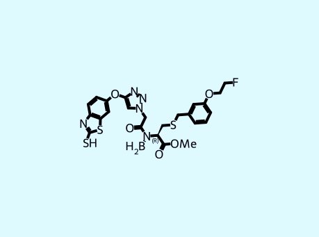 BN(C(=O)Cn1cc(Oc2ccc3nc(S)sc3c2)nn1)[C@@H](CSCc1cccc(OCCF)c1)C(=O)OC